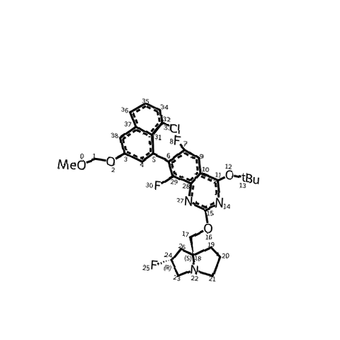 COCOc1cc(-c2c(F)cc3c(OC(C)(C)C)nc(OC[C@@]45CCCN4C[C@H](F)C5)nc3c2F)c2c(Cl)cccc2c1